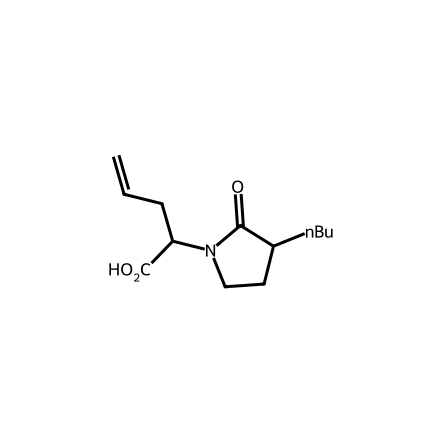 C=CCC(C(=O)O)N1CCC(CCCC)C1=O